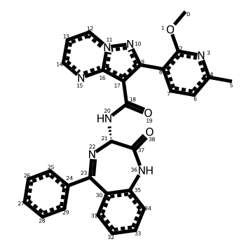 COc1nc(C)ccc1-c1nn2cccnc2c1C(=O)N[C@H]1N=C(c2ccccc2)c2ccccc2NC1=O